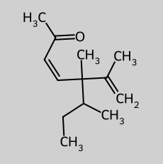 C=C(C)C(C)(/C=C\C(C)=O)C(C)CC